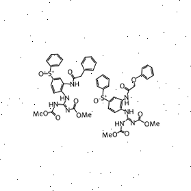 COC(=O)/N=C(/NC(=O)OC)Nc1ccc([S+]([O-])c2ccccc2)cc1NC(=O)COc1ccccc1.COC(=O)/N=C(/NC(=O)OC)Nc1ccc([S+]([O-])c2ccccc2)cc1NC(=O)Cc1ccccc1